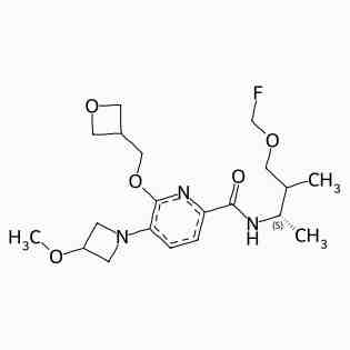 COC1CN(c2ccc(C(=O)N[C@@H](C)C(C)COCF)nc2OCC2COC2)C1